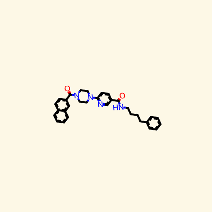 O=C(NCCCCc1ccccc1)c1ccc(N2CCN(C(=O)c3ccc4ccccc4c3)CC2)nc1